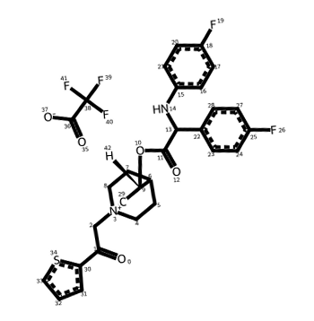 O=C(C[N+]12CCC(CC1)[C@@H](OC(=O)C(Nc1ccc(F)cc1)c1ccc(F)cc1)C2)c1cccs1.O=C([O-])C(F)(F)F